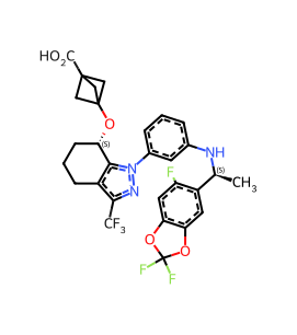 C[C@H](Nc1cccc(-n2nc(C(F)(F)F)c3c2[C@@H](OC24CC(C(=O)O)(C2)C4)CCC3)c1)c1cc2c(cc1F)OC(F)(F)O2